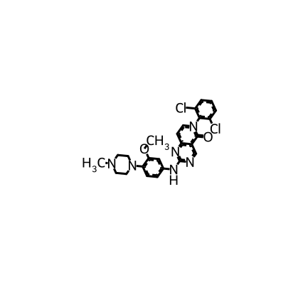 COc1cc(Nc2ncc3c(=O)n(-c4c(Cl)cccc4Cl)ccc3n2)ccc1N1CCN(C)CC1